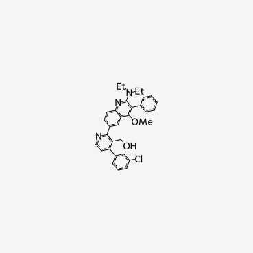 CCN(CC)c1nc2ccc(-c3nccc(-c4cccc(Cl)c4)c3CO)cc2c(OC)c1-c1ccccc1